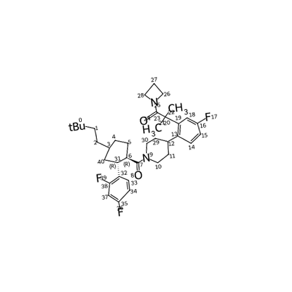 CC(C)(C)CCC1CC[C@@H](C(=O)N2CCC(c3ccc(F)cc3C(C)(C)C(=O)N3CCC3)CC2)[C@H](c2ccc(F)cc2F)C1